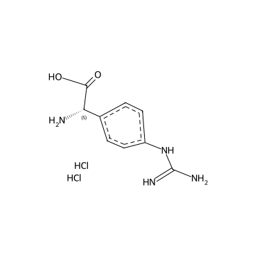 Cl.Cl.N=C(N)Nc1ccc([C@H](N)C(=O)O)cc1